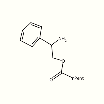 CCCCCC(=O)OCC(N)c1ccccc1